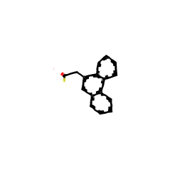 O=C(S)Cc1cc2ccccc2c2ccccc12